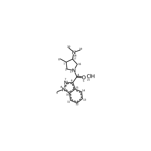 CC1CN(C(=O)c2nn(C)c3ccccc23)CC1N(C)C.Cl